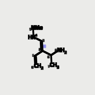 C=C/C(=C\NNC)C(C)N